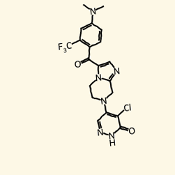 CN(C)c1ccc(C(=O)c2cnc3n2CCN(c2cn[nH]c(=O)c2Cl)C3)c(C(F)(F)F)c1